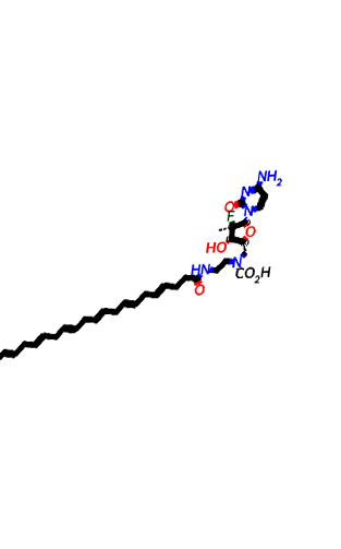 CCC=CCC=CCC=CCC=CCC=CCC=CCCC(=O)NCCN(C[C@H]1O[C@@H](n2ccc(N)nc2=O)[C@](C)(F)[C@@H]1O)C(=O)O